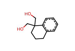 OCC1(CO)CCCc2ccccc21